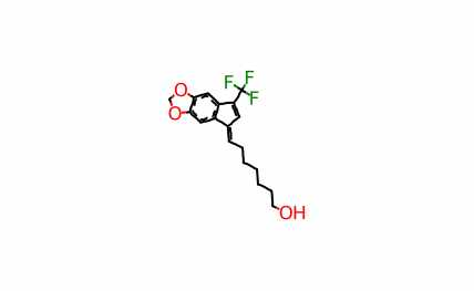 OCCCCCC/C=C1\C=C(C(F)(F)F)c2cc3c(cc21)OCO3